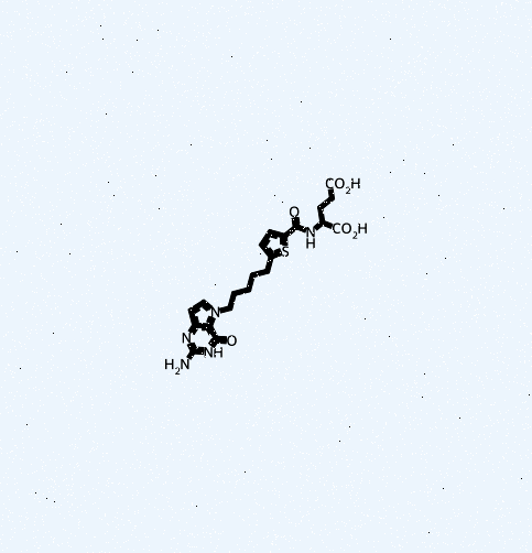 Nc1nc2ccn(CCCCCc3ccc(C(=O)NC(CCC(=O)O)C(=O)O)s3)c2c(=O)[nH]1